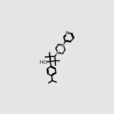 CC(C)c1ccc(C2(O)C(C)(C)C(N3CCN(c4cccnc4)CC3)C2(C)C)cc1